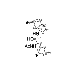 CC(=O)N[C@@H](Cc1cc(F)cc(F)c1)[C@H](O)CN[C@H]1CCOc2ccc(C(C)C)cc21